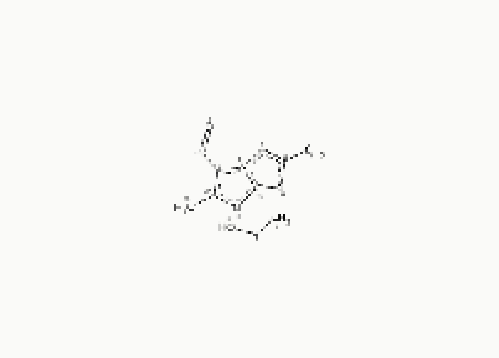 CCO.Cc1cn2c(C=O)c(C)nc2s1